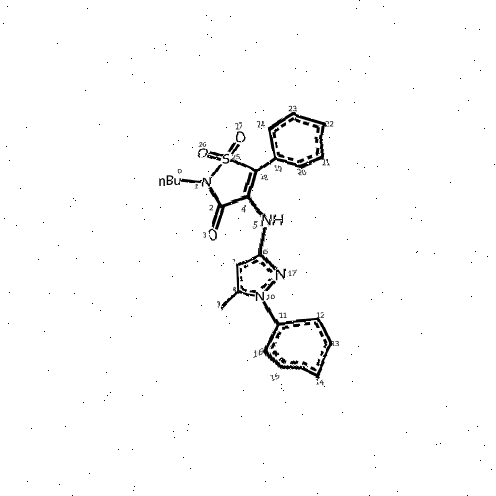 CCCCN1C(=O)C(Nc2cc(C)n(-c3ccccc3)n2)=C(c2ccccc2)S1(=O)=O